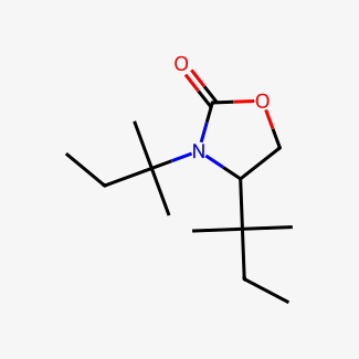 CCC(C)(C)C1COC(=O)N1C(C)(C)CC